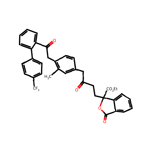 CCOC(=O)C1(CCC(=O)Cc2ccc(CC(=O)c3ccccc3-c3ccc(C(F)(F)F)cc3)c(C)c2)OC(=O)c2ccccc21